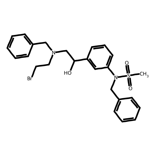 CS(=O)(=O)N(Cc1ccccc1)c1cccc(C(O)CN(CCBr)Cc2ccccc2)c1